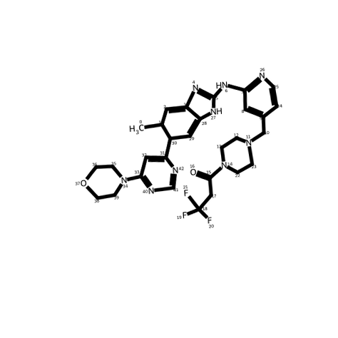 CC1C=c2nc(Nc3cc(CN4CCN(C(=O)CC(F)(F)F)CC4)ccn3)[nH]c2=CC1c1cc(N2CCOCC2)ncn1